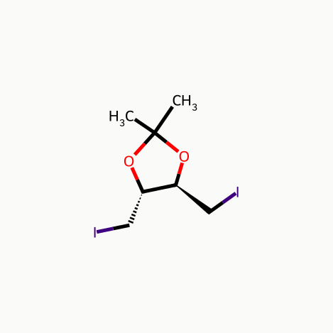 CC1(C)O[C@@H](CI)[C@H](CI)O1